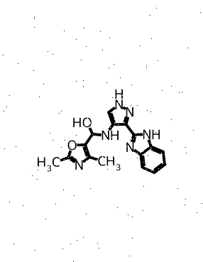 Cc1nc(C)c(C(O)Nc2c[nH]nc2-c2nc3ccccc3[nH]2)o1